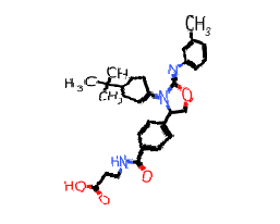 Cc1cccc(/N=C2\OCC(c3ccc(C(=O)NCCC(=O)O)cc3)N2C2CCC(C(C)(C)C)CC2)c1